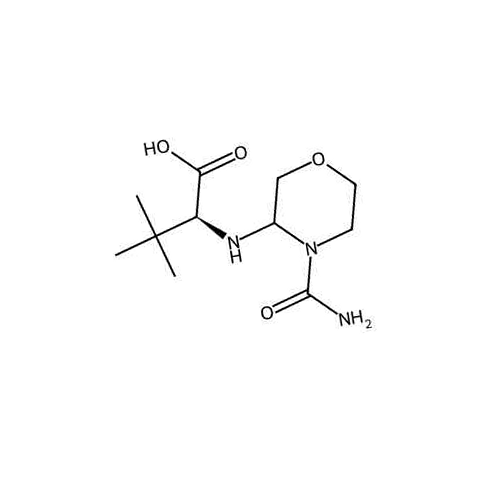 CC(C)(C)[C@H](NC1COCCN1C(N)=O)C(=O)O